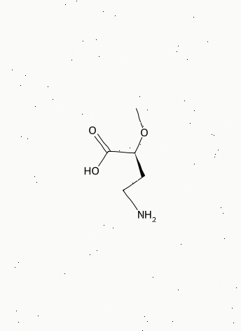 CO[C@@H](CCN)C(=O)O